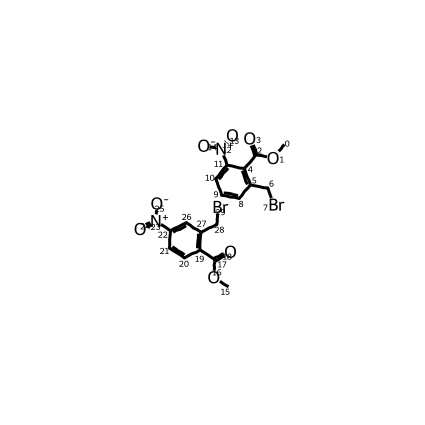 COC(=O)c1c(CBr)cccc1[N+](=O)[O-].COC(=O)c1ccc([N+](=O)[O-])cc1CBr